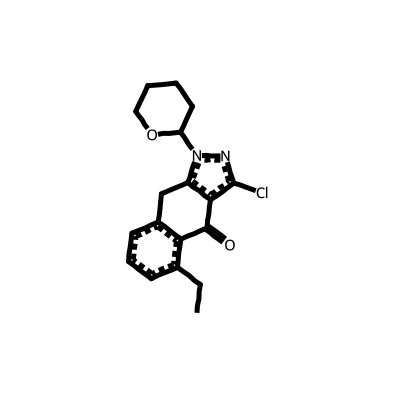 CCc1cccc2c1C(=O)c1c(Cl)nn(C3CCCCO3)c1C2